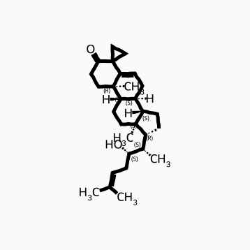 CC(C)=CC[C@H](O)[C@@H](C)[C@H]1CC[C@H]2[C@@H]3CC=C4C5(CC5)C(=O)CC[C@]4(C)[C@H]3CC[C@]12C